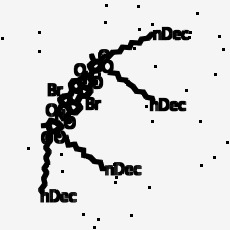 CCCCCCCCCCCCCCCCCCCCOc1cc(N2C(=O)c3ccc4c5c(Br)cc6c7c(ccc(c8c(Br)cc(c3c48)C2=O)c75)C(=O)N(c2cc(C)c(OCCCCCCCCCCCCCCCCCCCC)c(OCCCCCCCCCCCCCCCCCCCC)c2)C6=O)cc(C)c1OCCCCCCCCCCCCCCCCCCCC